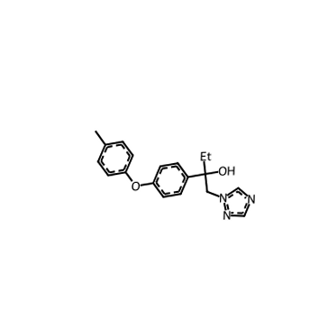 CCC(O)(Cn1cncn1)c1ccc(Oc2ccc(C)cc2)cc1